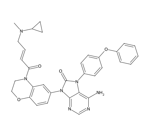 CN(C/C=C/C(=O)N1CCOc2ccc(-n3c(=O)n(-c4ccc(Oc5ccccc5)cc4)c4c(N)ncnc43)cc21)C1CC1